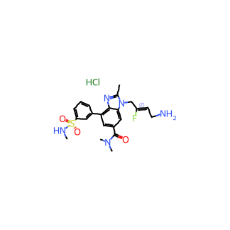 CNS(=O)(=O)c1cccc(-c2cc(C(=O)N(C)C)cc3c2nc(C)n3C/C(F)=C/CN)c1.Cl